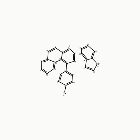 Brc1ccc(-c2ccnc3ccc4ccccc4c23)cc1.c1ccc2[nH]ccc2c1